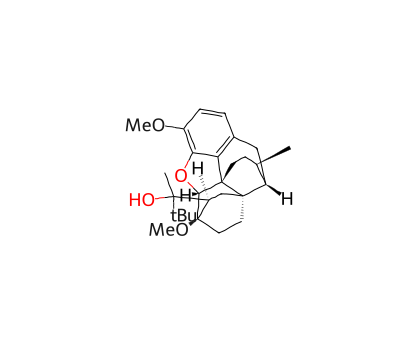 COc1ccc2c3c1O[C@H]1[C@@]4(OC)CC[C@@]5(C[C@@H]4C(C)(O)C(C)(C)C)[C@@H](C2)[C@H](C)CC[C@]315